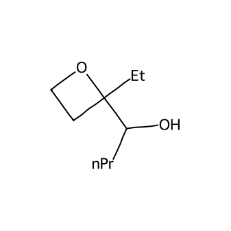 CCCC(O)C1(CC)CCO1